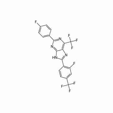 Fc1ccc(-c2nc(C(F)(F)F)c3nc(-c4ccc(C(F)(F)F)cc4F)[nH]c3n2)cc1